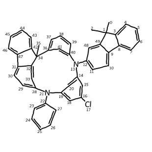 CC1(C)c2ccccc2-c2ccc(N3c4cc(Cl)cc(c4)N(c4ccccc4)c4ccc5c(c4)C(C)(c4cccc3c4)c3ccccc3-5)cc21